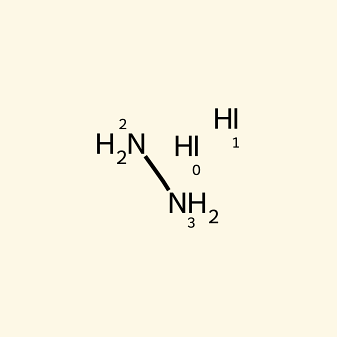 I.I.NN